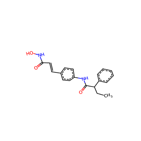 CCC(C(=O)Nc1ccc(/C=C/C(=O)NO)cc1)c1ccccc1